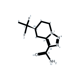 CC(F)(F)[C@H]1CCn2nnc(C(N)=O)c2C1